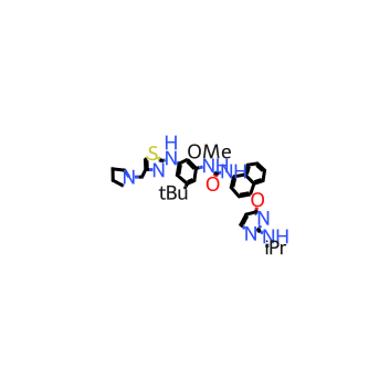 COc1c(NC(=O)Nc2ccc(Oc3ccnc(NC(C)C)n3)c3ccccc23)cc(C(C)(C)C)cc1Nc1nc(CN2CCCC2)cs1